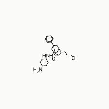 N[C@H]1CC[C@H](NC(=O)C23CC4CC(c5ccccc5)(CC(C2)C4CCCCl)C3)CC1